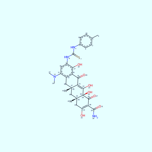 Cc1ccc(NC(=S)Nc2cc(N(C)C)c3c(c2O)C(=O)C2=C(O)[C@]4(O)C(=O)C(C(N)=O)=C(O)C[C@@H]4C[C@@H]2C3)cc1